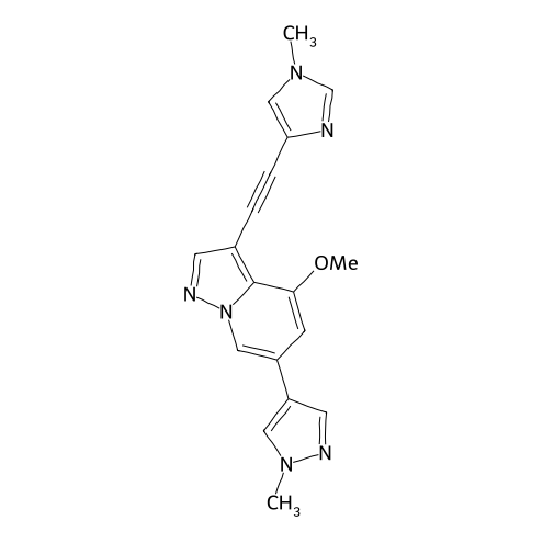 COc1cc(-c2cnn(C)c2)cn2ncc(C#Cc3cn(C)cn3)c12